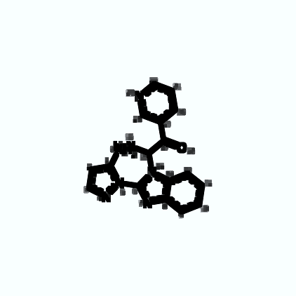 Nc1ccnn1-c1nc2ccccc2n1C(N)C(=O)c1cccnc1